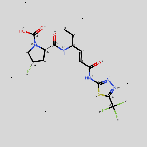 CC[C@@H](C=CC(=O)Nc1nnc(C(F)(F)F)s1)NC(=O)[C@@H]1C[C@H](F)CN1C(=O)O